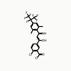 Cc1cc(C(F)(C(F)(F)F)C(F)(F)F)cc(C)c1C(=N)/C=C(\O)c1ccc(Cl)c(C(=O)Cl)c1